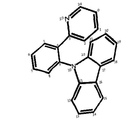 c1ccc(-c2ccccc2-n2c3ccccc3c3ccccc32)nc1